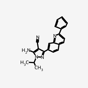 CC(C)n1nc(-c2ccc3ccc(-c4ccccc4)nc3c2)c(C#N)c1N